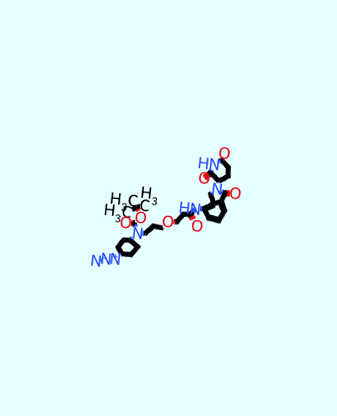 CC(C)(C)OC(=O)N(CCCOCCC(=O)Nc1cccc2c1CN(C1CCC(=O)NC1=O)C2=O)C1CCC(N=[N+]=[N-])CC1